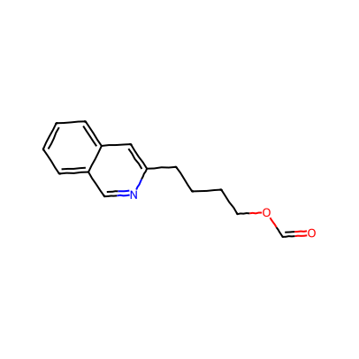 O=COCCCCc1cc2ccccc2cn1